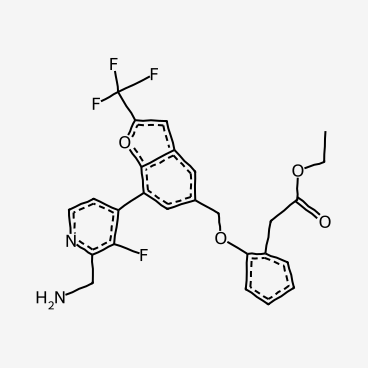 CCOC(=O)Cc1ccccc1OCc1cc(-c2ccnc(CN)c2F)c2oc(C(F)(F)F)cc2c1